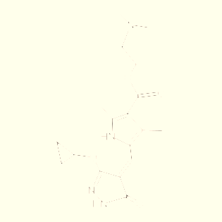 Cc1[nH]c(C=C2C(=O)NN=C2OC2CC2)c(C)c1C(=O)OCCN(C)C